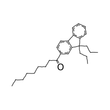 CCCCCCCCC(=O)c1ccc2c(c1)C(CCC)(CCC)c1ccccc1-2